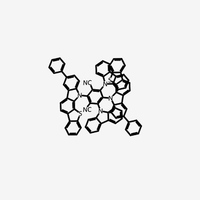 N#Cc1c(-n2c3ccccc3c3ccccc32)c(-n2c3ccc(-c4ccccc4)cc3c3ccc4c5ccccc5sc4c32)c(-n2c3ccccc3c3ccccc32)c(C#N)c1-n1c2ccc(-c3ccccc3)cc2c2ccc3c4ccccc4sc3c21